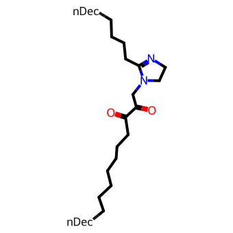 CCCCCCCCCCCCCCCCCC(=O)C(=O)CN1CCN=C1CCCCCCCCCCCCCC